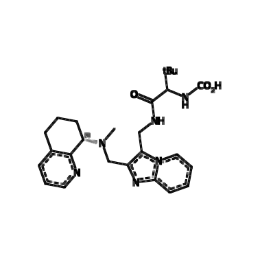 CN(Cc1nc2ccccn2c1CNC(=O)C(NC(=O)O)C(C)(C)C)[C@H]1CCCc2cccnc21